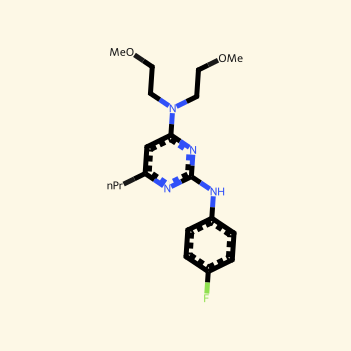 CCCc1cc(N(CCOC)CCOC)nc(Nc2ccc(F)cc2)n1